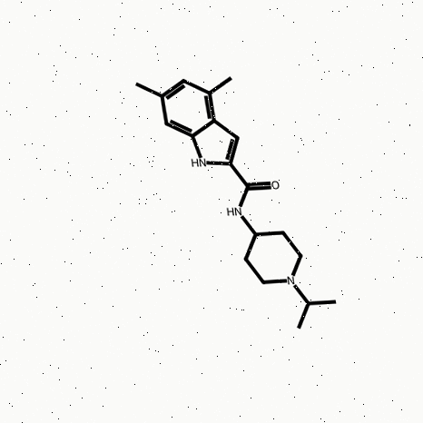 Cc1cc(C)c2cc(C(=O)NC3CCN(C(C)C)CC3)[nH]c2c1